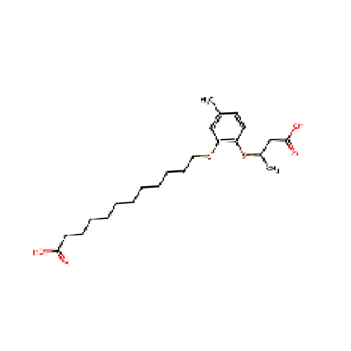 Cc1ccc(SC(C)CC(=O)O)c(SCCCCCCCCCCCC(=O)O)c1